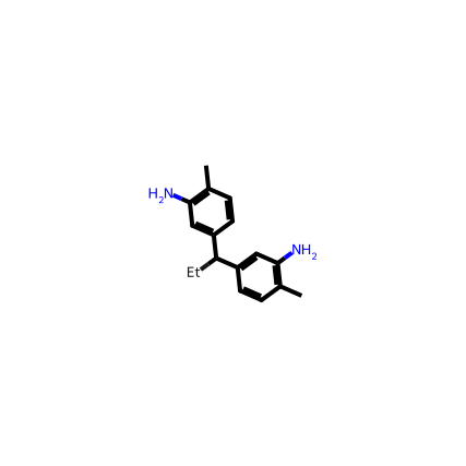 CCC(c1ccc(C)c(N)c1)c1ccc(C)c(N)c1